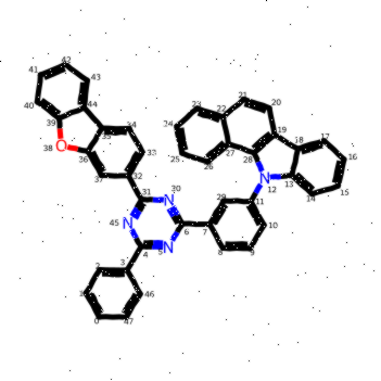 c1ccc(-c2nc(-c3cccc(-n4c5ccccc5c5ccc6ccccc6c54)c3)nc(-c3ccc4c(c3)oc3ccccc34)n2)cc1